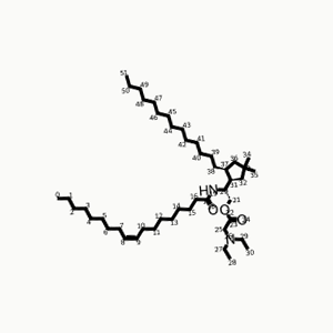 CCCCCCCC/C=C\CCCCCCCC(=O)N[C@@H](COC(=O)CN(CC)CC)[C@@H]1CC(C)(C)C[C@@H]1CCCCCCCCCCCCCC